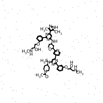 CNCC(O)COc1cccc(-c2nc(NC3CCOC(c4cc(-c5cc(N(C)C6CCN(C(C)=O)CC6)nc(-c6cccc(OCC(O)CNC)c6)n5)ccn4)C3)cc(-c3c(C)n[nH]c3C)n2)c1